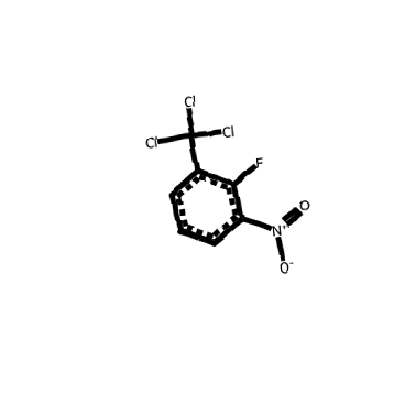 O=[N+]([O-])c1cccc(C(Cl)(Cl)Cl)c1F